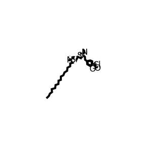 CCCCCCCCCCCCCCCCCC[Si](C)(CCC[Si](C)(CCc1ccc(S(=O)(=O)Cl)cc1)N(C)C)N(C)C